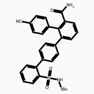 CC(C)(C)NS(=O)(=O)c1ccccc1-c1ccc(-c2cccc(C(N)=O)c2-c2ccc(C#N)cc2)cc1